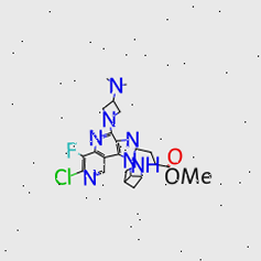 COC(=O)CCc1nc2c(N3CC(N(C)C)C3)nc3c(F)c(Cl)ncc3c2n1C1C2CNC1C2